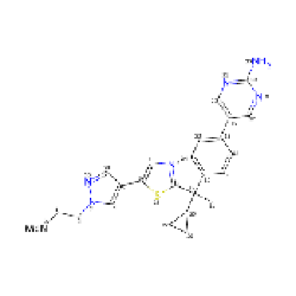 CNCCn1cc(-c2cnc(C(C)(c3ccc(-c4cnc(N)nc4)cc3)C3CC3)s2)cn1